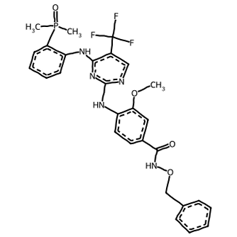 COc1cc(C(=O)NOCc2ccccc2)ccc1Nc1ncc(C(F)(F)F)c(Nc2ccccc2P(C)(C)=O)n1